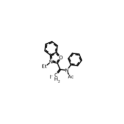 C=C(c1oc2ccccc2[n+]1CC)N(C(C)=O)c1ccccc1.[I-]